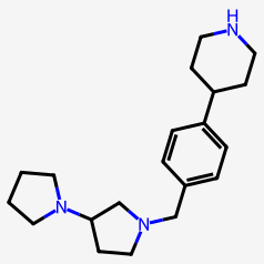 c1cc(C2CCNCC2)ccc1CN1CCC(N2CCCC2)C1